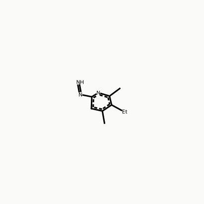 CCc1c(C)cc(N=N)nc1C